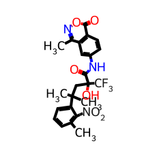 Cc1cccc(C(C)(C)CC(O)(C(=O)Nc2ccc3c(=O)onc(C)c3c2)C(F)(F)F)c1[N+](=O)[O-]